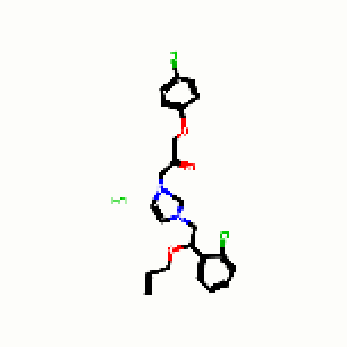 C=CCOC(CN1C=CN(CC(=O)COc2ccc(Cl)cc2)C1)c1ccccc1Cl.Cl